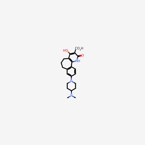 CN(C)C1CCN(c2ccc3c(c2)CCCc2c-3[nH]c(=O)c(C(=O)O)c2O)CC1